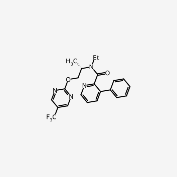 CCN(C(=O)c1ncccc1-c1ccccc1)[C@@H](C)COc1ncc(C(F)(F)F)cn1